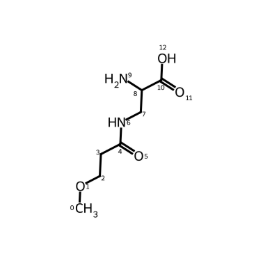 COCCC(=O)NCC(N)C(=O)O